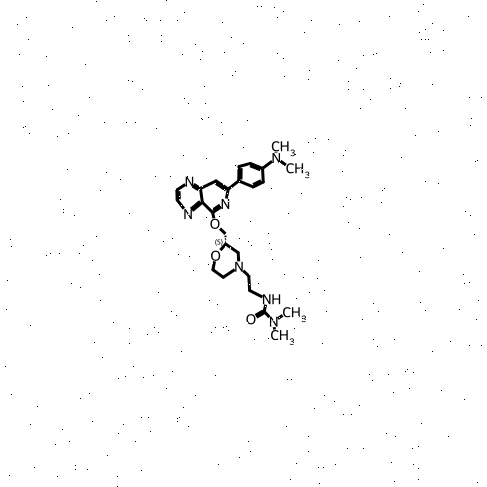 CN(C)C(=O)NCCN1CCO[C@H](COc2nc(-c3ccc(N(C)C)cc3)cc3nccnc23)C1